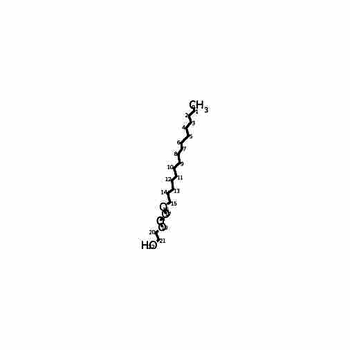 CCCCCCCCCCCCCCCCOOOOCCO